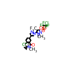 CN(C(=O)c1cc(-c2cnn(-c3c(C(F)(F)F)c(OS(=O)(=O)C(F)(F)C(F)(F)Cl)nn3C)c2)ccc1Cl)C1(C#N)CC1